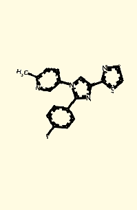 Cc1ccc(-n2cc(-c3nccs3)nc2-c2ccc(I)cc2)cn1